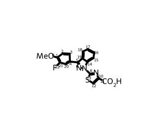 COc1ccc(-c2nn(-c3nc(C(=O)O)cs3)c3ccccc23)cc1F